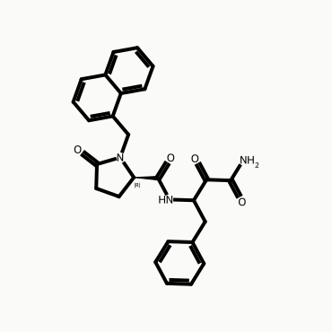 NC(=O)C(=O)C(Cc1ccccc1)NC(=O)[C@H]1CCC(=O)N1Cc1cccc2ccccc12